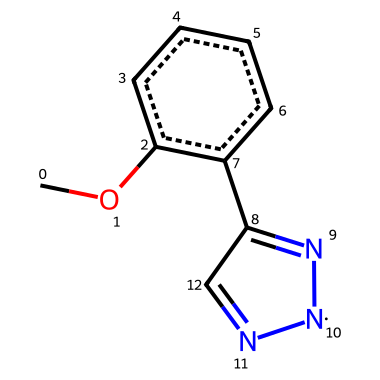 COc1ccccc1C1=N[N]N=C1